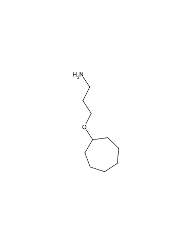 NCCCOC1CCCCCC1